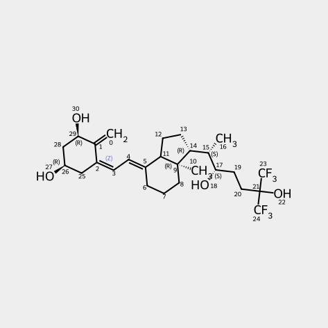 C=C1/C(=C\C=C2CCC[C@@]3(C)C2CC[C@@H]3[C@H](C)[C@@H](O)CCC(O)(C(F)(F)F)C(F)(F)F)C[C@@H](O)C[C@H]1O